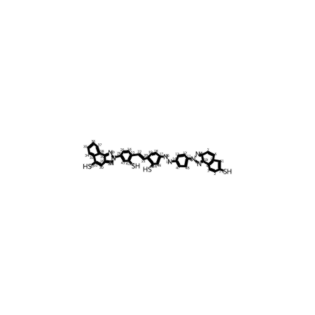 Sc1ccc2c(ccc3nn(-c4ccc(N=Nc5ccc(C=Cc6ccc(-n7nc8cc(S)c9ccccc9c8n7)cc6S)c(S)c5)cc4)nc32)c1